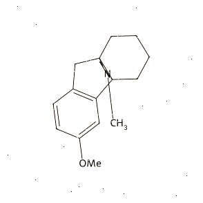 COc1ccc2c(c1)C13CCCCC1(CCCN3C)C2